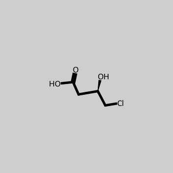 O=C(O)C[C@@H](O)CCl